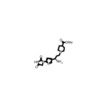 COC(=O)C1CCN(CC[C@@H](N)c2ccc(N3CC(=O)NC3=O)nc2)CC1